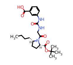 CCCC[C@H]1CC[C@@H](C(=O)OC(C)(C)C)N1C(=O)CNC(=O)Nc1cccc(C(=O)O)c1